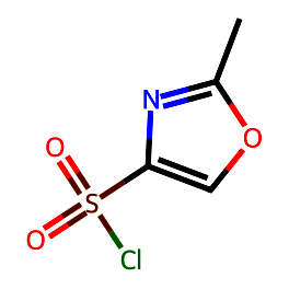 Cc1nc(S(=O)(=O)Cl)co1